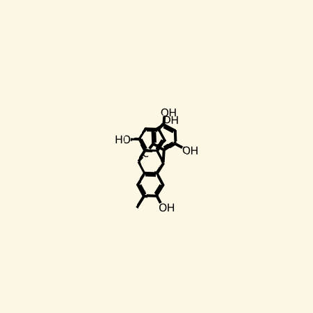 Cc1cc2c(cc1O)C1c3cc(O)cc(O)c3C2Cc2cc(O)cc(O)c21